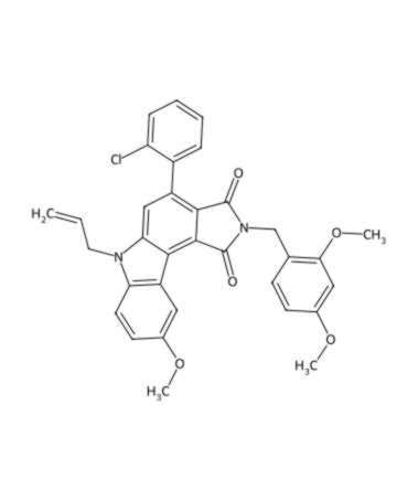 C=CCn1c2ccc(OC)cc2c2c3c(c(-c4ccccc4Cl)cc21)C(=O)N(Cc1ccc(OC)cc1OC)C3=O